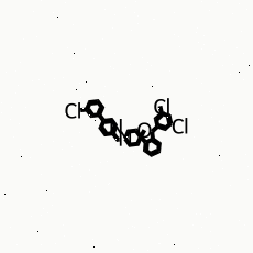 Clc1cccc(-c2ccc(CN3CCC4(CC3)OC(c3cc(Cl)cc(Cl)c3)c3ccccc34)nc2)c1